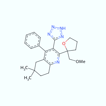 COCC1(c2nc3c(c(-c4ccccc4)c2-c2nn[nH]n2)CC(C)(C)CC3)CCCO1